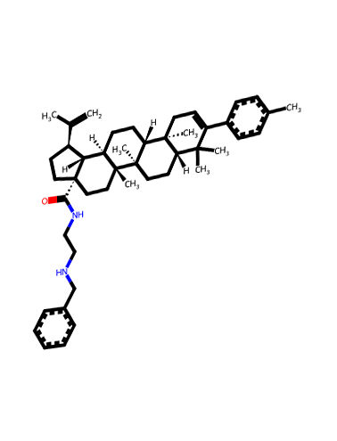 C=C(C)[C@@H]1CC[C@]2(C(=O)NCCNCc3ccccc3)CC[C@]3(C)[C@H](CC[C@@H]4[C@@]5(C)CC=C(c6ccc(C)cc6)C(C)(C)[C@@H]5CC[C@]43C)[C@@H]12